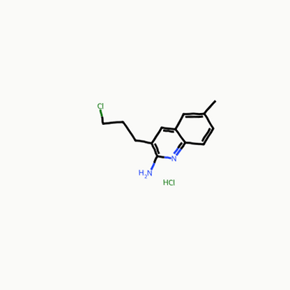 Cc1ccc2nc(N)c(CCCCl)cc2c1.Cl